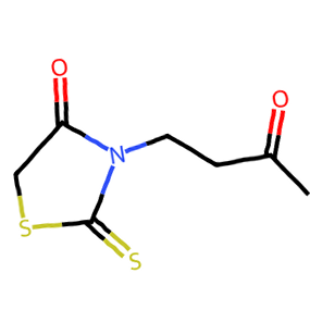 CC(=O)CCN1C(=O)CSC1=S